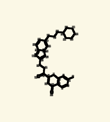 Cc1ccc2c(c1)CC(C(=O)CCc1cn3cc(CCCC4CCCCC4)ccc3n1)=CC2=O